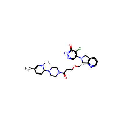 CC1=CN(C)C(N2CCN(C(=O)CCOC[C@H]3c4ncccc4CN3c3cn[nH]c(=O)c3Cl)CC2)C=C1